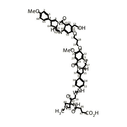 COc1ccc(C2=CN3C(=O)c4cc(CO)c(OCCCOc5cc6c(cc5OC)C(=O)N5C=C(c7ccc([NH][W][CH2]C(=O)C8(NC(=O)CCC(=O)O)CN(C)C8)cc7)C[C@H]5C=N6)cc4N=C[C@@H]3C2)cc1